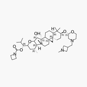 CC(C)[C@@H](OC(=O)N1CCC1)C1C[C@@H](C)[C@H]2C(O1)[C@H](O)[C@@]1(C)C3CC[C@H]4C(C)(C)[C@@H](O[C@H]5CN(CC6CN(C)C6)CCO5)CC[C@@]45C[C@@]35CC[C@]21C